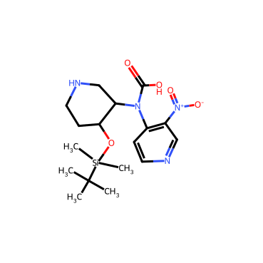 CC(C)(C)[Si](C)(C)OC1CCNCC1N(C(=O)O)c1ccncc1[N+](=O)[O-]